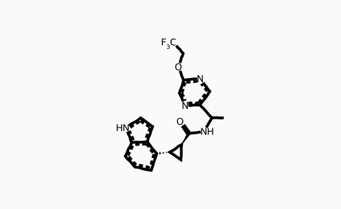 CC(NC(=O)[C@H]1C[C@@H]1c1cccc2[nH]ccc12)c1cnc(OCC(F)(F)F)cn1